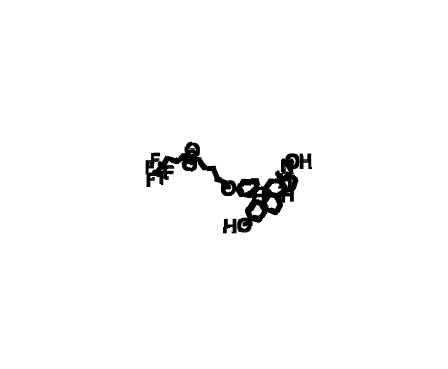 C[C@]12C[C@H](c3ccc(OCCCCCS(=O)(=O)CCCC(F)(F)C(F)(F)F)cc3)[C@@H]3c4ccc(O)cc4CC[C@H]3[C@@H]1CCC2=NO